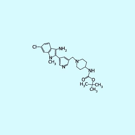 Cn1c(-c2cncc(CN3CCC(NC(=O)OC(C)(C)C)CC3)c2)c(N)c2ccc(Cl)cc21